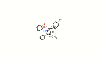 C=[C]=[Zr+2]([NH][Si](C)(C)C)[C]1=CC=CC1.[O-]c1ccccc1.[O-]c1ccccc1